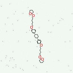 c1cc([C@H]2CC[C@H](c3ccc(OCCCCCCOC4CCCCO4)cc3)CC2)ccc1OCCCCCCOC1CCCCO1